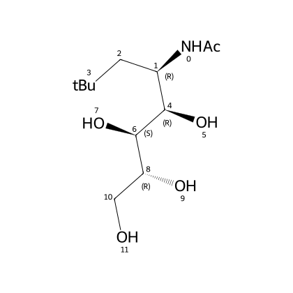 CC(=O)N[C@H](CC(C)(C)C)[C@@H](O)[C@H](O)[C@H](O)CO